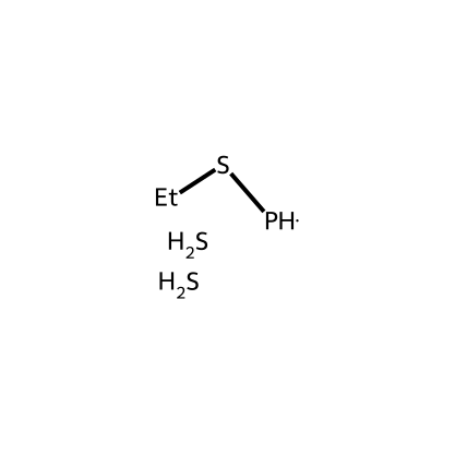 CCS[PH].S.S